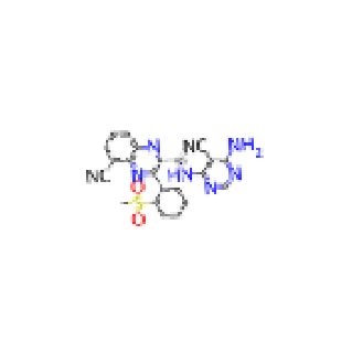 C[C@H](Nc1ncnc(N)c1C#N)c1nc2cccc(C#N)c2nc1-c1ccccc1S(C)(=O)=O